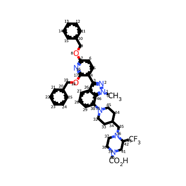 Cn1nc(-c2ccc(OCc3ccccc3)nc2OCc2ccccc2)c2cccc(N3CCC(CN4CCN(C(=O)O)CC4C(F)(F)F)CC3)c21